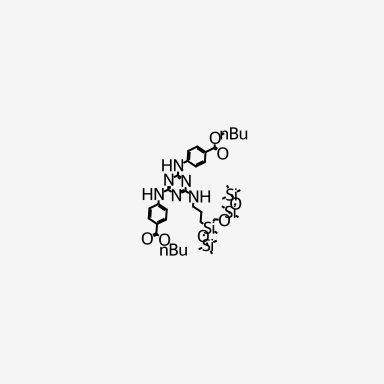 CCCCOC(=O)c1ccc(Nc2nc(NCCC[Si](C)(CO[Si](C)(C)O[Si](C)(C)C)O[Si](C)(C)C)nc(Nc3ccc(C(=O)OCCCC)cc3)n2)cc1